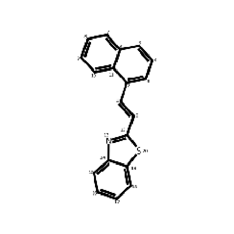 C(=C\c1cccc2ccccc12)/c1nc2ccccc2s1